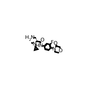 CN(C1CC1)[C@H](CN)C(=O)Nc1ccc(N2CCOCC2=O)c(F)c1